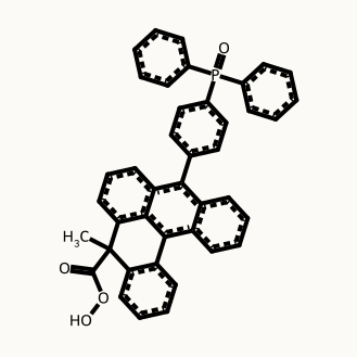 CC1(C(=O)OO)c2ccccc2-c2c3ccccc3c(-c3ccc(P(=O)(c4ccccc4)c4ccccc4)cc3)c3cccc1c23